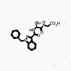 CC(C)(C)[C@H](NC(=O)c1nn(Cc2ccccc2)c2ccccc12)C(=O)NCC(=O)O